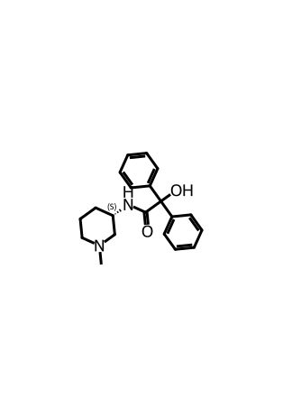 CN1CCC[C@H](NC(=O)C(O)(c2ccccc2)c2ccccc2)C1